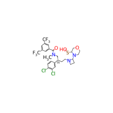 CN(C[C@@H](CCN1CCC1N1CCOCC1SO)c1ccc(Cl)c(Cl)c1)C(=O)c1cc(C(F)(F)F)cc(C(F)(F)F)c1